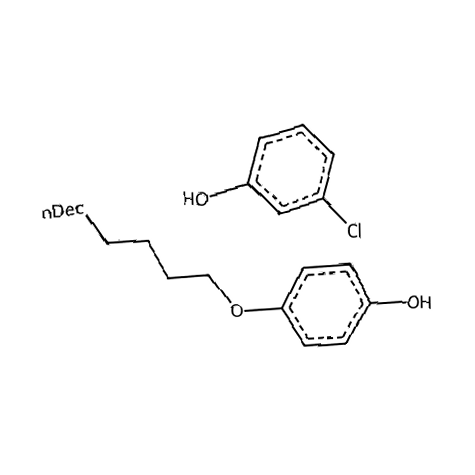 CCCCCCCCCCCCCCOc1ccc(O)cc1.Oc1cccc(Cl)c1